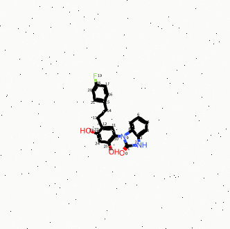 O=c1[nH]c2ccccc2n1-c1cc(CCc2ccc(F)cc2)c(O)cc1O